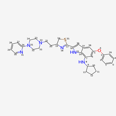 c1ccc(Oc2cc(NC3CCCC3)c3[nH]c(C4=NC(CCN5CCN(c6ccccn6)CC5)CS4)cc3c2)cc1